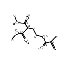 C=C(C)C(=O)OCCC(C(=O)OC)C(=O)OC